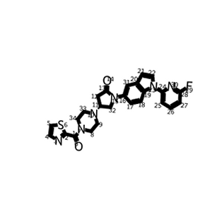 O=C(c1nccs1)N1CCN([C@@H]2CC(=O)N(c3ccc4c(ccn4-c4cccc(F)n4)c3)C2)CC1